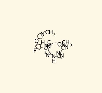 CCN1CCC(Oc2cc(F)cc(-c3nn4c5cc(ncc35)Nc3ccnc(n3)-c3cnn(C)c3OCC[C@@H]4C)c2)CC1